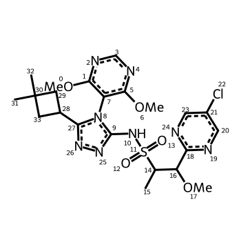 COc1ncnc(OC)c1-n1c(NS(=O)(=O)C(C)C(OC)c2ncc(Cl)cn2)nnc1C1CC(C)(C)C1